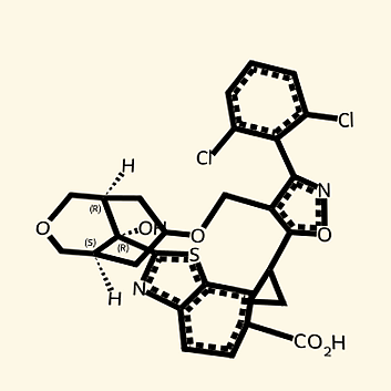 O=C(O)c1ccc2nc([C@@]3(O)[C@@H]4COC[C@H]3CC(OCc3c(-c5c(Cl)cccc5Cl)noc3C3CC3)C4)sc2c1